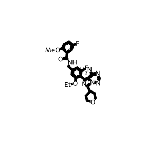 CCOc1cc(CNC(=O)c2cc(F)ccc2OC)cc(F)c1-c1nc(C2CCOCC2)n2ncnc(N)c12